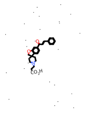 O=C(O)CCN1CCC2(CC1)COc1cc(C(=O)C=Cc3ccccc3)ccc12